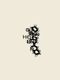 O=C(O)C12CN(S(=O)(=O)c3ccccc3[N+](=O)[O-])CC1CC(c1cnc3ccccc3c1)N2